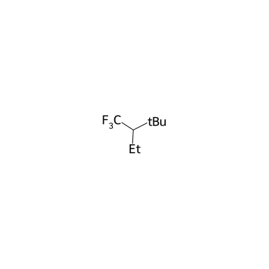 [CH2]CC(C(C)(C)C)C(F)(F)F